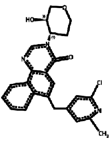 Cc1cc(Cc2cc3c(=O)n([C@H]4CCOC[C@@H]4O)cnc3c3ccccc23)cc(Cl)n1